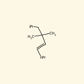 [CH2]C(C)CC(C)(C)C=CCCC